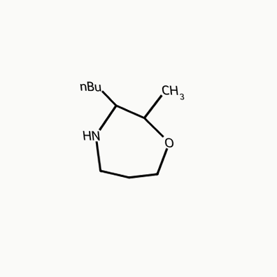 CCCCC1NCCCOC1C